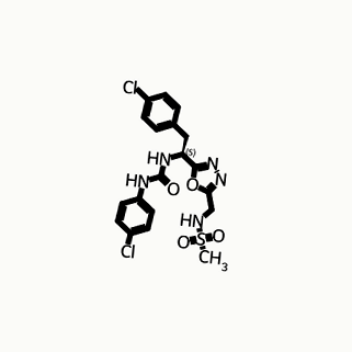 CS(=O)(=O)NCc1nnc([C@H](Cc2ccc(Cl)cc2)NC(=O)Nc2ccc(Cl)cc2)o1